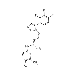 CC(=O)c1ccc(N/C(C)=N/C=C\n2cncc2-c2ccc(Cl)c(F)c2F)cc1C